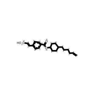 C=CCCCCC1CCC(OC(=O)c2ccc(C=CC(=O)O)cc2)CC1